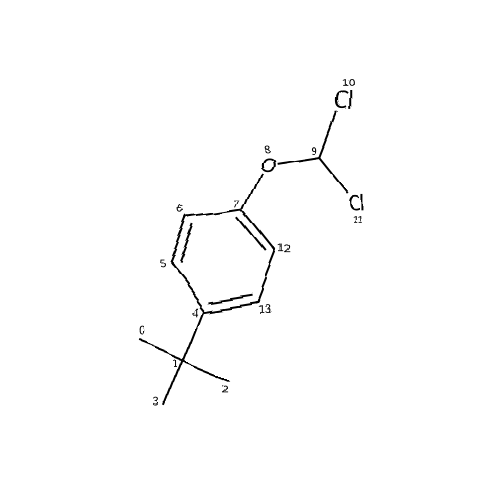 CC(C)(C)c1ccc(OC(Cl)Cl)cc1